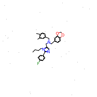 CCCCn1c(CN(Cc2ccc(C)c(C)c2)Cc2ccc3c(c2)OCO3)cnc1-c1ccc(F)cc1